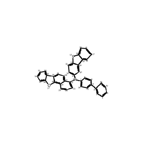 c1ccc(-c2ccc(N(c3ccc4sc5ccccc5c4c3)c3cccc4c3ccc3c5ccccc5oc43)cc2)cc1